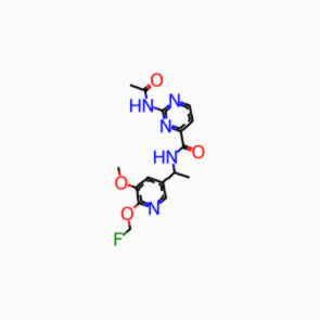 COc1cc(C(C)NC(=O)c2ccnc(NC(C)=O)n2)cnc1OCF